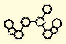 C1=Cc2sc3cccc(-c4nc(-c5ccccc5)nc(-c5cccc(-c6cccc7oc8ccccc8c67)c5)n4)c3c2CC1